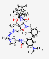 Cc1c(CN2O[C@@H](CN=[N+]=[N-])[C@@H]([C@H](C)O)[C@H]2C(=O)N[C@H]2C[C@H]3C[C@@H]([C@@H]2C)C3(C)C)cccc1-c1cc(C(=O)N[C@@H]2CCN(C)C2)cc(N(C)C)c1